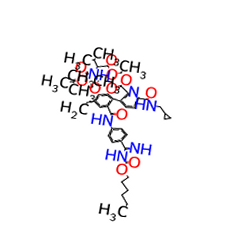 C=Cc1cc(C(=O)Nc2ccc(C(=N)NC(=O)OCCCCCC)cc2)c(-c2ccc(C(=O)NCC3CC3)nc2C(=O)OC(C)OC(=O)[C@@H](NC(=O)OC(C)(C)C)C(C)C)cc1OC